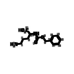 NCCCC(NC(=O)OCc1ccccc1)C(=O)O